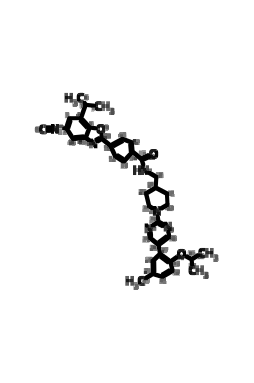 [C-]#[N+]c1cc(C(C)C)c2oc(-c3ccc(C(=O)NCC4CCN(c5ncc(-c6cc(C)ccc6OC(C)C)cn5)CC4)cc3)nc2c1